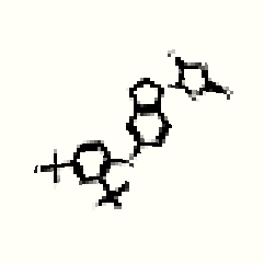 O=C1NC(=O)C([C@@H]2CCc3cc(Oc4ccc(C(F)(F)F)cc4C(F)(F)F)ccc32)S1